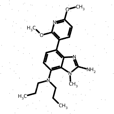 CCCN(CCC)c1ccc(-c2ccc(OC)nc2OC)c2nc(N)n(C)c12